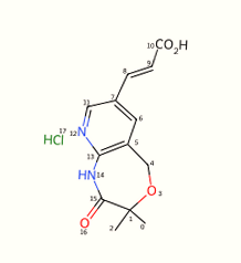 CC1(C)OCc2cc(C=CC(=O)O)cnc2NC1=O.Cl